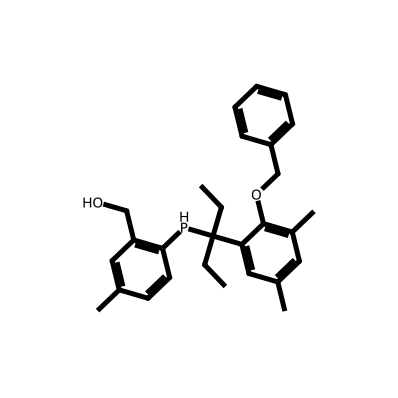 CCC(CC)(Pc1ccc(C)cc1CO)c1cc(C)cc(C)c1OCc1ccccc1